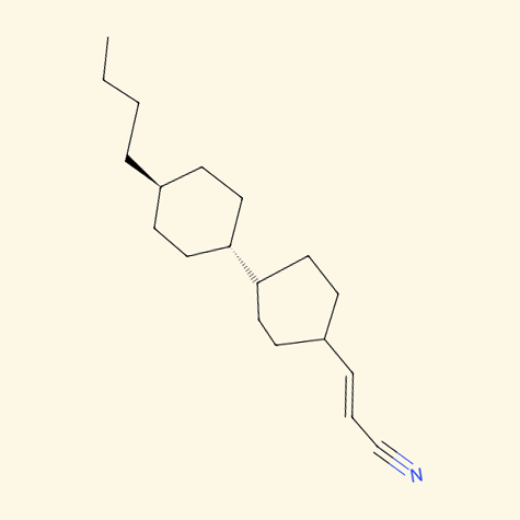 CCCC[C@H]1CC[C@H](C2CCC(C=CC#N)CC2)CC1